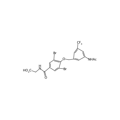 CC(=O)Nc1cc(COc2c(Br)cc(C(=O)NCC(=O)O)cc2Br)cc(C(F)(F)F)c1